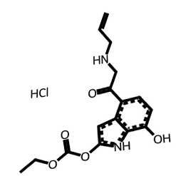 C=CCNCC(=O)c1ccc(O)c2[nH]c(OC(=O)OCC)cc12.Cl